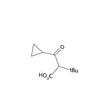 CC(C)(C)C(C(=O)O)C(=O)C1CC1